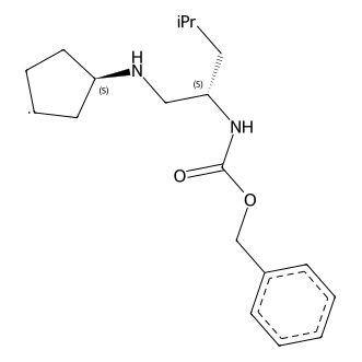 CC(C)C[C@@H](CN[C@H]1C[CH]CC1)NC(=O)OCc1ccccc1